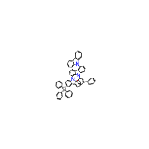 c1ccc(-c2cccc(-n3c4cccc(-n5c6ccccc6c6ccccc65)c4c4cccc(-n5c6ccccc6c6cc([Si](c7ccccc7)(c7ccccc7)c7ccccc7)ccc65)c43)c2)cc1